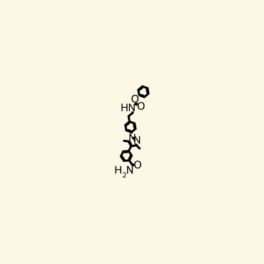 Cc1nn(-c2ccc(CCNC(=O)Oc3ccccc3)cc2)c(C)c1-c1cccc(C(N)=O)c1